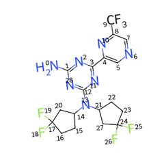 Nc1nc(-c2cncc(C(F)(F)F)n2)nc(N(C2CCC(F)(F)C2)C2CCC(F)(F)C2)n1